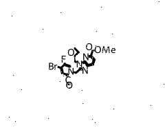 COC(=O)c1ccc2nc(CN3C=C(F)C(Br)=CC3=C=O)n(C[C@@H]3CCO3)c2n1